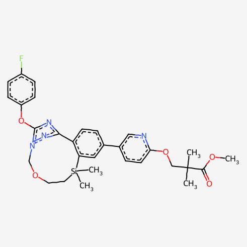 COC(=O)C(C)(C)COc1ccc(-c2ccc3c(c2)[Si](C)(C)CCOCn2nc-3nc2Oc2ccc(F)cc2)cn1